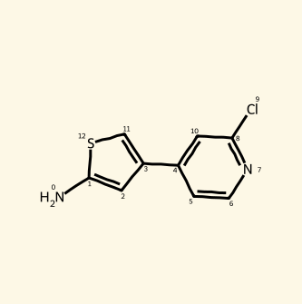 Nc1cc(-c2ccnc(Cl)c2)cs1